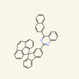 c1ccc2c(c1)-c1ccc(-c3nc(-c4ccc5ccccc5c4)c4ccccc4n3)cc1C21c2cccc3ccc4cccc1c4c23